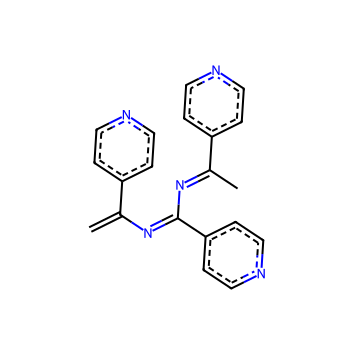 C=C(/N=C(\N=C(/C)c1ccncc1)c1ccncc1)c1ccncc1